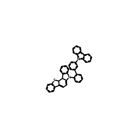 C1=C2c3ccccc3SC2C2C(=C1)N(c1ccccc1-c1cccc(-n3c4ccccc4c4ccccc43)c1)c1ccccc12